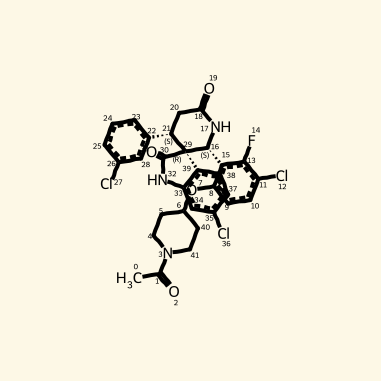 CC(=O)N1CCC(Oc2ccc(Cl)c(F)c2[C@H]2NC(=O)C[C@@H](c3cccc(Cl)c3)[C@]23C(=O)Nc2cc(Cl)ccc23)CC1